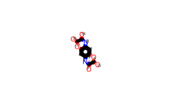 O=C1N=c2cc3c(cc2OC1=O)=NC(=O)C(=O)O3